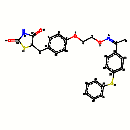 C/C(=N/OCCOc1ccc(CC2SC(=O)NC2=O)cc1)c1ccc(Sc2ccccc2)cc1